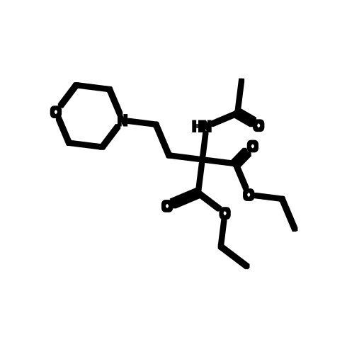 CCOC(=O)C(CCN1CCOCC1)(NC(C)=O)C(=O)OCC